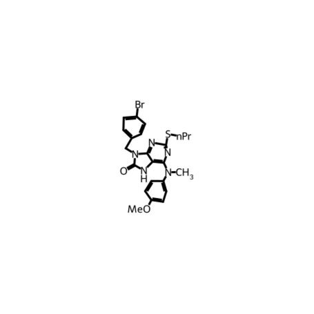 CCCSc1nc(N(C)c2ccc(OC)cc2)c2[nH]c(=O)n(Cc3ccc(Br)cc3)c2n1